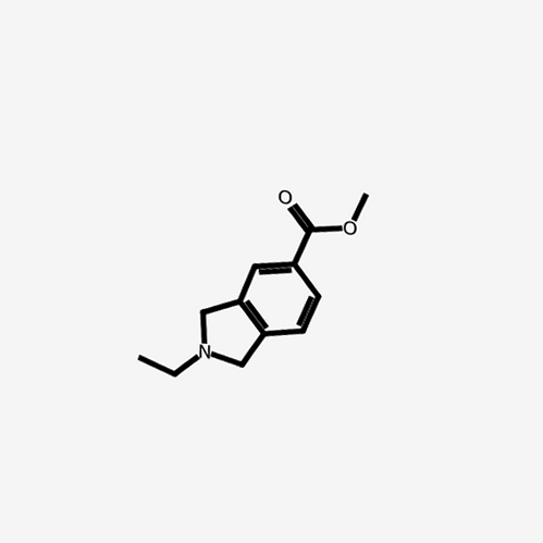 CCN1Cc2ccc(C(=O)OC)cc2C1